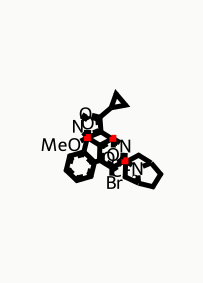 COC(=O)c1cnc(N2C3CCC2CC(OCc2c(-c4ccccc4OC(F)(F)F)noc2C2CC2)C3)c(Br)c1